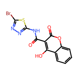 O=C(Nc1nnc(Br)s1)c1c(O)c2ccccc2oc1=O